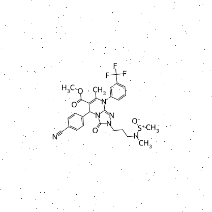 COC(=O)C1=C(C)N(c2cccc(C(F)(F)F)c2)c2nn(CCCN(C)[S+](C)[O-])c(=O)n2C1c1ccc(C#N)cc1